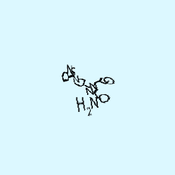 NC(=O)c1cn(CC2COC2)c(C2CCN(c3snc4ccccc34)CC2)n1